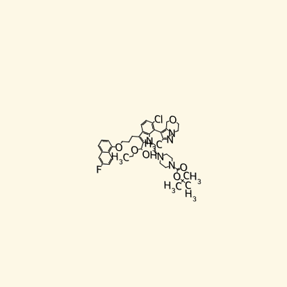 CCOC(O)c1c(CCCOc2cccc3cc(F)ccc23)c2ccc(Cl)c(-c3c(C)nn4c3COCC4)c2n1CCN1CCN(C(=O)OC(C)(C)C)CC1